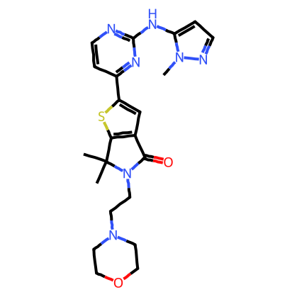 Cn1nccc1Nc1nccc(-c2cc3c(s2)C(C)(C)N(CCN2CCOCC2)C3=O)n1